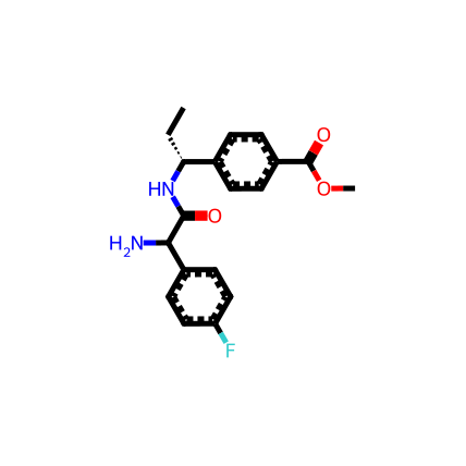 CC[C@@H](NC(=O)C(N)c1ccc(F)cc1)c1ccc(C(=O)OC)cc1